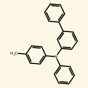 Cc1ccc(N(c2ccccc2)c2cccc(-c3ccccc3)c2)cc1